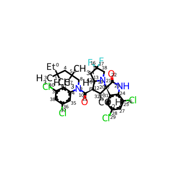 CCC(C)(C)CC(C)(C)CN(C(=O)[C@H]1[C@H]2CC(F)(F)CN2[C@]2(C(=O)Nc3c(Cl)cc(Cl)cc32)[C@H]1C(=O)O)c1cc(Cl)cc(Cl)c1